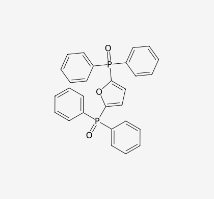 O=P(c1ccccc1)(c1ccccc1)c1ccc(P(=O)(c2ccccc2)c2ccccc2)o1